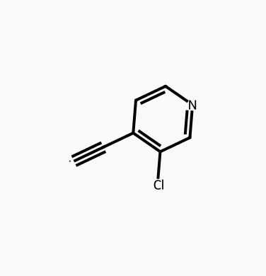 [C]#Cc1ccncc1Cl